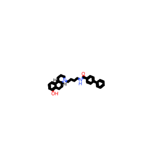 O=C(NCCCCN1CCC[C@H]2c3cccc(O)c3CC[C@H]21)c1ccc(-c2ccccc2)cc1